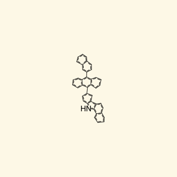 c1ccc2cc(-c3c4ccccc4c(-c4ccc5[nH]c6c7ccccc7ccc6c5c4)c4ccccc34)ccc2c1